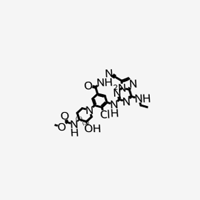 CCNc1nc(Nc2cc(C(N)=O)cc(N3CC[C@H](NC(=O)OC)[C@@H](O)C3)c2Cl)nn2c(C#N)cnc12